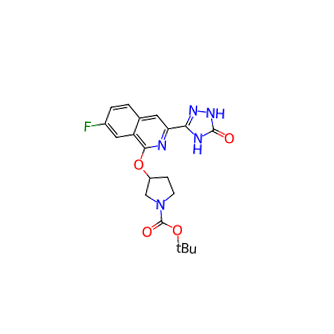 CC(C)(C)OC(=O)N1CCC(Oc2nc(-c3n[nH]c(=O)[nH]3)cc3ccc(F)cc23)C1